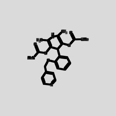 CNC(=O)OC1=C(C)NC(C)=C(OC(=O)OC)C1c1ccccc1OCc1ccncc1